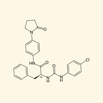 O=C(Nc1ccc(Cl)cc1)N[C@@H](Cc1ccccc1)C(=O)Nc1ccc(N2CCCC2=O)cc1